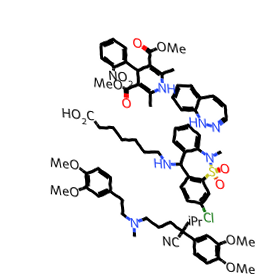 C1=Cc2ccccc2NN=C1.CN1c2ccccc2C(NCCCCCCC(=O)O)c2ccc(Cl)cc2S1(=O)=O.COC(=O)C1=C(C)NC(C)=C(C(=O)OC)C1c1ccccc1[N+](=O)[O-].COc1ccc(CCN(C)CCCC(C#N)(c2ccc(OC)c(OC)c2)C(C)C)cc1OC